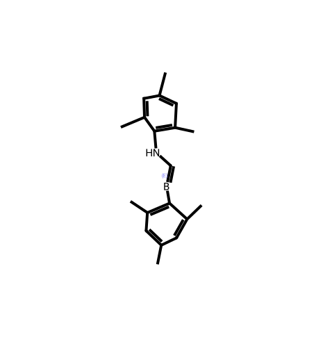 Cc1cc(C)c(/B=C/Nc2c(C)cc(C)cc2C)c(C)c1